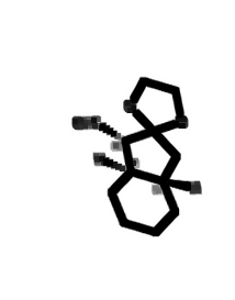 O=C[C@H]1[C@@H]2CCCC[C@H]2CC12OCCO2